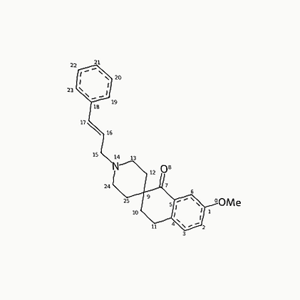 COc1ccc2c(c1)C(=O)C1(CC2)CCN(C/C=C/c2ccccc2)CC1